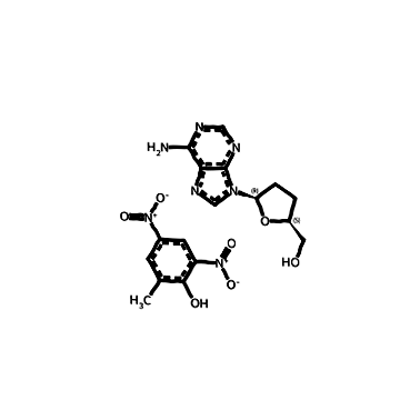 Cc1cc([N+](=O)[O-])cc([N+](=O)[O-])c1O.Nc1ncnc2c1ncn2[C@H]1CC[C@@H](CO)O1